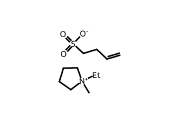 C=CCCS(=O)(=O)[O-].CC[N+]1(C)CCCC1